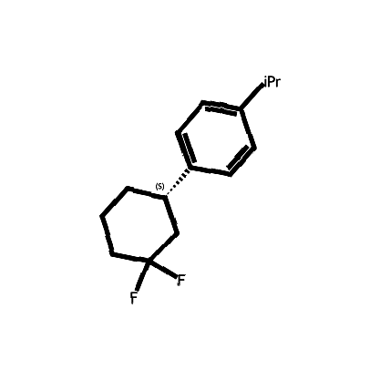 CC(C)c1ccc([C@H]2CCCC(F)(F)C2)cc1